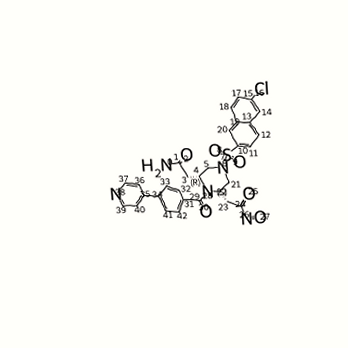 NC(=O)C[C@@H]1CN(S(=O)(=O)c2ccc3cc(Cl)ccc3c2)C[C@H](CC(=O)N=O)N1C(=O)c1ccc(-c2ccncc2)cc1